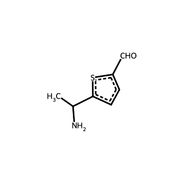 CC(N)c1ccc(C=O)s1